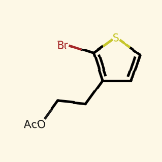 CC(=O)OCCc1ccsc1Br